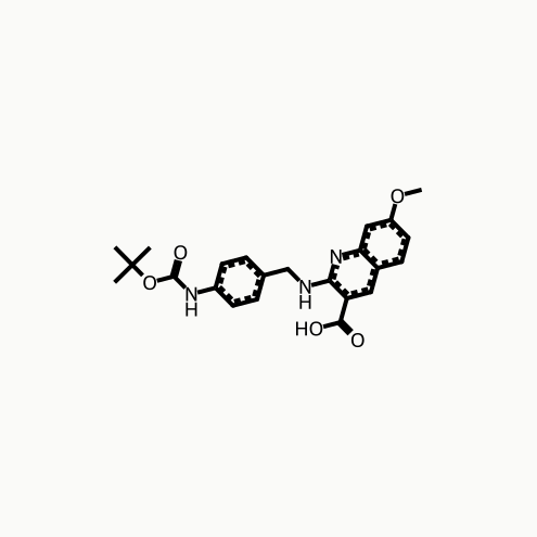 COc1ccc2cc(C(=O)O)c(NCc3ccc(NC(=O)OC(C)(C)C)cc3)nc2c1